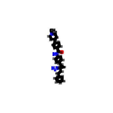 CN1CCC(c2ccc(C(=O)Nc3ccc(C4CC4(N)CCc4ccccc4)cc3)cc2)CC1